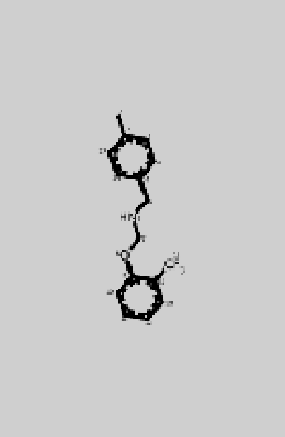 Cc1ccc(CNCOc2ccccc2C(F)(F)F)cc1